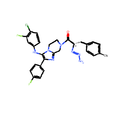 N#Cc1ccc(C[C@H](N=NN)C(=O)N2CCn3c(nc(-c4ccc(F)cc4)c3Nc3ccc(Cl)c(F)c3)C2)cc1